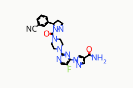 N#Cc1cccc(C2CC=NN2C(=O)N2CCN(c3ncc(F)c(-n4cc(C(N)=O)cn4)n3)CC2)c1